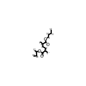 [CH2]C(CCC(C)C(=O)OCCCC)C(=O)OC(C)CC